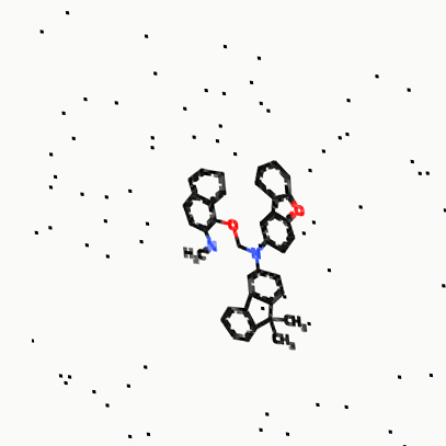 C=Nc1ccc2ccccc2c1OCN(c1ccc2c(c1)-c1ccccc1C2(C)C)c1ccc2oc3ccccc3c2c1